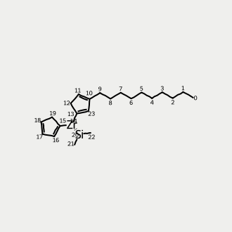 CCCCCCCCCCC1=CC[C]([Zr]([C]2=CC=CC2)=[Si](C)C)=C1